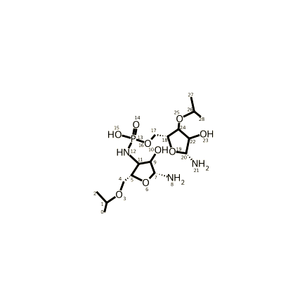 CC(C)OC[C@H]1O[C@@H](N)C(O)C1NP(=O)(O)OC[C@H]1O[C@@H](N)C(O)C1OC(C)C